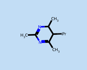 CC1=NC(C)C(C(C)C)C(C)=N1